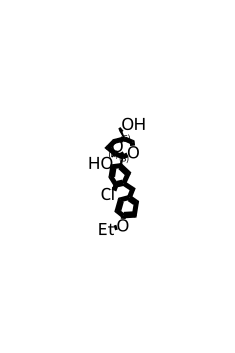 CCOc1ccc(Cc2cc([C@@]34OC[C@@](CO)(CC[C@H]3O)O4)ccc2Cl)cc1